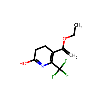 C=C(OCC)C1=C(C(F)(F)F)N=C(O)CC1